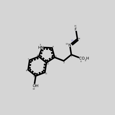 O=C(O)C(Cc1c[nH]c2ccc(O)cc12)/N=C/F